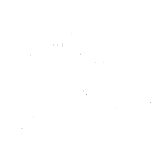 CC(O)(c1cnc(C2=CCNCC2)nc1)c1ccc(F)cc1F.Cl